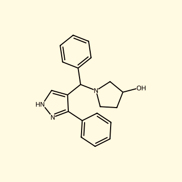 OC1CCN(C(c2ccccc2)c2c[nH]nc2-c2ccccc2)C1